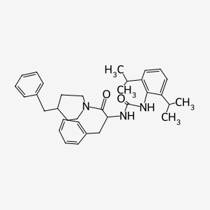 CC(C)c1cccc(C(C)C)c1NC(=O)NC(Cc1ccccc1)C(=O)N1CCC(Cc2ccccc2)CC1